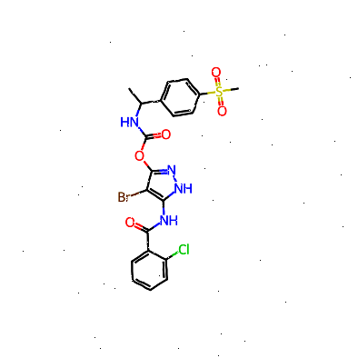 CC(NC(=O)Oc1n[nH]c(NC(=O)c2ccccc2Cl)c1Br)c1ccc(S(C)(=O)=O)cc1